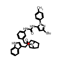 Cc1ccc(-n2nc(C(C)(C)C)cc2NC(=O)Nc2cccc(CC3CC4CCC(C3)N4C(=O)Cc3c[nH]c4ccccc34)c2)cc1